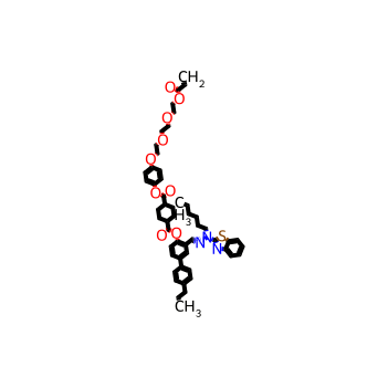 C=CC(=O)OCCOCCOCCOc1ccc(OC(=O)C2CCC(C(=O)Oc3ccc(-c4ccc(CCC)cc4)cc3/C=N/N(CCCCCC)c3nc4ccccc4s3)CC2)cc1